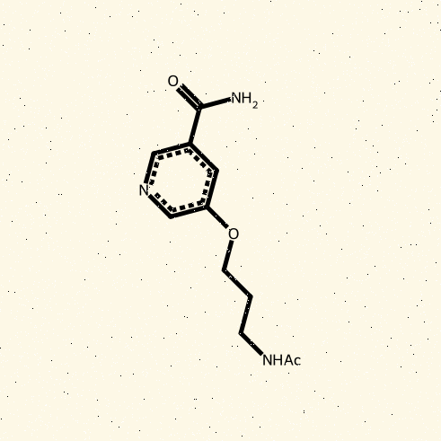 CC(=O)NCCCOc1cncc(C(N)=O)c1